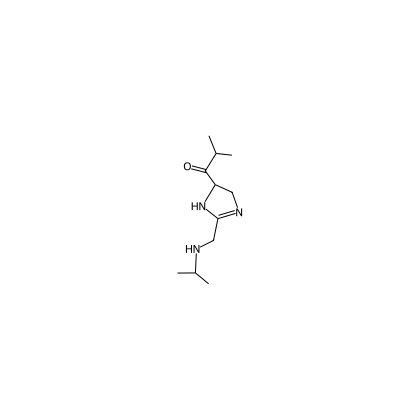 CC(C)NCC1=NCC(C(=O)C(C)C)N1